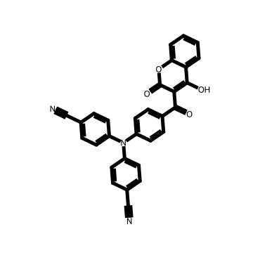 N#Cc1ccc(N(c2ccc(C#N)cc2)c2ccc(C(=O)c3c(O)c4ccccc4oc3=O)cc2)cc1